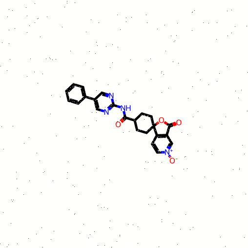 O=C1OC2(CCC(C(=O)Nc3ncc(-c4ccccc4)cn3)CC2)c2cc[n+]([O-])cc21